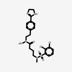 CCCN(CCc1ccc(C2=NCCN2)cc1)C(=O)CCCN(C)S(=O)(=O)c1cccc(Cl)c1Cl